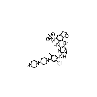 Cc1cc(Nc2ncc(Br)c(N(C)c3cc4c(cc3N(C)S(C)(=O)=O)CCO4)n2)c(Cl)cc1N1CCC(N2CCN(C)CC2)CC1